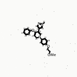 COCCOc1ccc(N2C=C(c3cnn(C)c3)C(Oc3ccccc3)=CC2)cc1